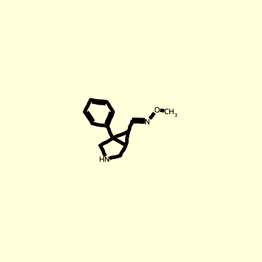 CON=CC1C2CNCC12c1ccccc1